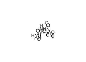 CCC(NC(=O)c1cccc(Nc2ncc3c(=O)c(C(=O)NOC)cn(-c4ccc5c(c4)CCC5)c3n2)c1)C1CCCN1